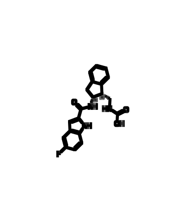 O=C(O)NC[C@H]1c2ccccc2C[C@H]1NC(=O)c1cc2cc(F)ccc2[nH]1